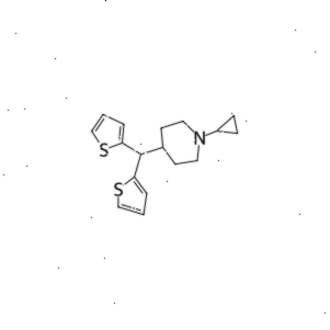 c1csc(C(c2cccs2)C2CCN(C3CC3)CC2)c1